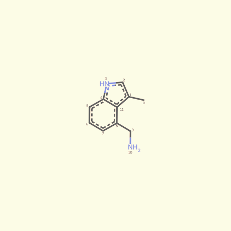 Cc1c[nH]c2cccc(CN)c12